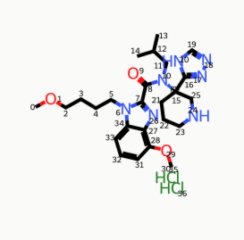 COCCCCn1c(C(=O)N(CC(C)C)[C@]2(c3nnc[nH]3)CCCNC2)nc2c(OC)cccc21.Cl.Cl